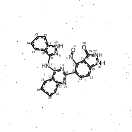 O=Nc1c(-c2nc(Nc3n[nH]c4ccccc34)c3ccccc3n2)ccc2[nH][nH]c(=O)c12